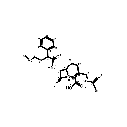 COCSC(C(=O)N[C@H]1C(=O)N2C(C(=O)O)=C(COC(C)=O)CSC12)c1ccccc1